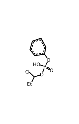 CCC(Cl)OP(=O)(O)Oc1ccccc1